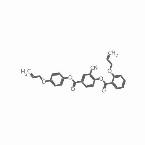 C=CCOc1ccc(OC(=O)c2ccc(OC(=O)c3ccccc3OCC=C)c(C#N)c2)cc1